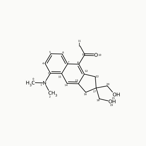 CN(C)c1cccc2c(C(=O)I)c3c(cc12)CC(CO)(CO)C3